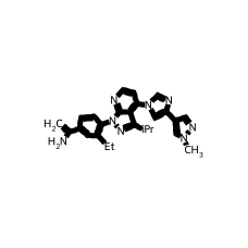 C=C(N)c1ccc(-n2nc(C(C)C)c3c(-n4cnc(-c5cnn(C)c5)c4)ccnc32)c(CC)c1